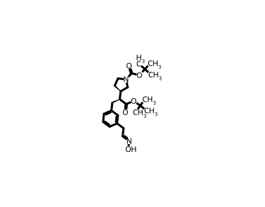 CC(C)(C)OC(=O)[C@@H](Cc1cccc(C/C=N/O)c1)[C@H]1CCN(C(=O)OC(C)(C)C)C1